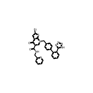 CCc1cc2c(=O)c(C(=O)NCc3ccccn3)cn(Cc3ccc(-c4ccccc4-c4nnn[nH]4)cc3)c2s1